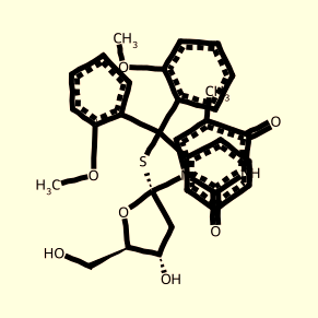 COc1ccccc1C(S[C@]1(n2cc(C)c(=O)[nH]c2=O)C[C@H](O)[C@@H](CO)O1)(c1ccccc1)c1ccccc1OC